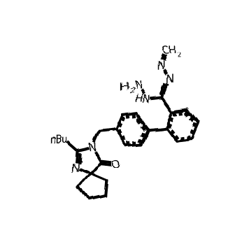 C=N/N=C(\NN)c1ccccc1-c1ccc(CN2C(=O)C3(CCCC3)N=C2CCCC)cc1